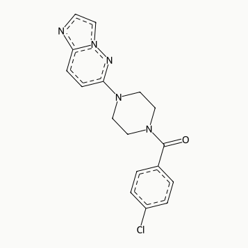 O=C(c1ccc(Cl)cc1)N1CCN(c2ccc3nccn3n2)CC1